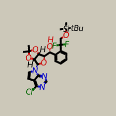 CC1(C)O[C@H]2[C@@H](O1)[C@H](n1ccc3c(Cl)ncnc31)O[C@@H]2[C@H](O)c1ccccc1C(F)(F)CO[Si](C)(C)C(C)(C)C